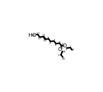 CCCOC(CCCCC/C=C/CCO)OCCC